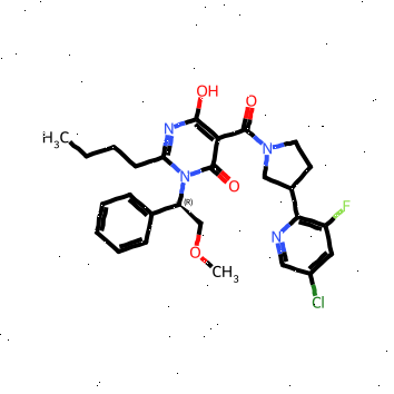 CCCCc1nc(O)c(C(=O)N2CCC(c3ncc(Cl)cc3F)C2)c(=O)n1[C@@H](COC)c1ccccc1